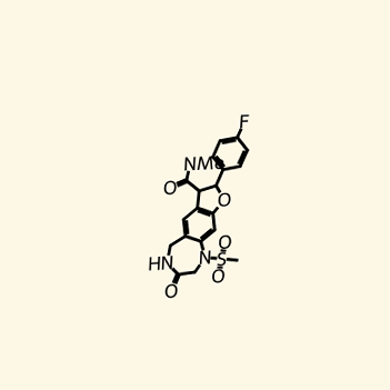 CNC(=O)C1c2cc3c(cc2OC1c1ccc(F)cc1)N(S(C)(=O)=O)CC(=O)NC3